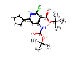 CC(C)(C)OC(=O)Nc1cc(C2CCCC2)nc(Cl)c1C(=O)OC(C)(C)C